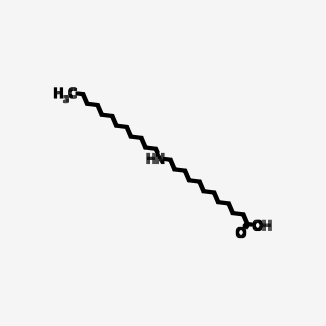 CCCCCCCCCCCCNCCCCCCCCCCCC(=O)O